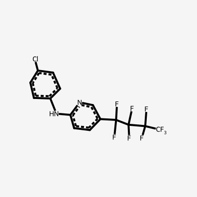 FC(F)(F)C(F)(F)C(F)(F)C(F)(F)c1ccc(Nc2ccc(Cl)cc2)nc1